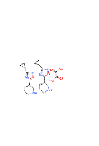 C1=C(c2nc(C3CC3)no2)CNCC1.C1=C(c2nc(C3CC3)no2)CNCC1.O=C(O)C(=O)O